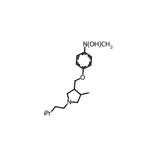 CC(C)CCN1CC(C)C(COc2ccc(N(C)O)cc2)C1